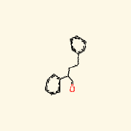 O=CC(CCc1ccccc1)c1ccccc1